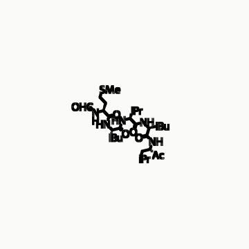 CCC(C)[C@H](NC(=O)[C@H](CCSC)NC=O)C(=O)N[C@H](C(=O)N[C@H](C(=O)N[C@@H](CC(C)C)C(C)=O)C(C)CC)C(C)C